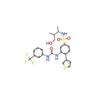 CC(CO)C(C)NS(=O)(=O)c1ccc(-c2ccsc2)c(NC(=O)Nc2cccc(C(F)(F)F)c2)c1